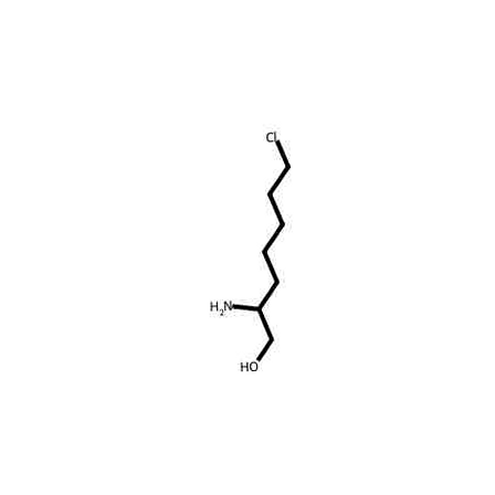 NC(CO)CCCCCCl